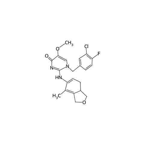 COc1cn(Cc2ccc(F)c(Cl)c2)c(NC2=CCC3COCC3=C2C)nc1=O